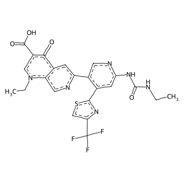 CCNC(=O)Nc1cc(-c2nc(C(F)(F)F)cs2)c(-c2cc3c(=O)c(C(=O)O)cn(CC)c3cn2)cn1